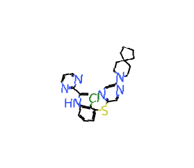 C=C(Nc1cccc(Sc2cnc(N3CCC4(CCCC4)CC3)cn2)c1Cl)c1ncccn1